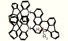 CC1(C)c2ccccc2-c2cccc(-c3c4cccc(N5c6ccccc6C6(c7ccccc7-c7ccccc76)c6ccccc65)c4cc4c(N5c6ccccc6C6(c7ccccc7-c7ccccc76)c6ccccc65)cccc34)c21